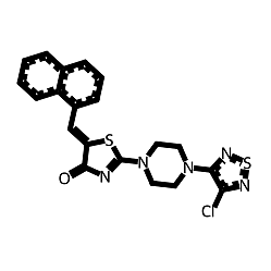 O=C1N=C(N2CCN(c3nsnc3Cl)CC2)SC1=Cc1cccc2ccccc12